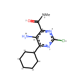 CNC(=O)c1nc(Cl)nc(C2CCCCC2)c1N